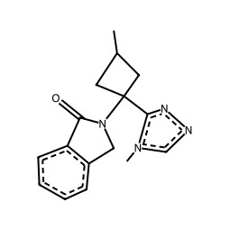 CC1CC(c2nncn2C)(N2Cc3ccccc3C2=O)C1